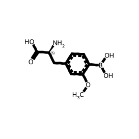 COc1cc(C[C@H](N)C(=O)O)ccc1B(O)O